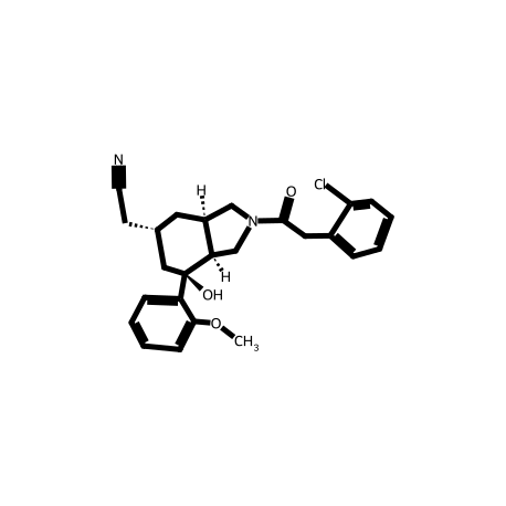 COc1ccccc1[C@]1(O)C[C@H](CC#N)C[C@H]2CN(C(=O)Cc3ccccc3Cl)C[C@H]21